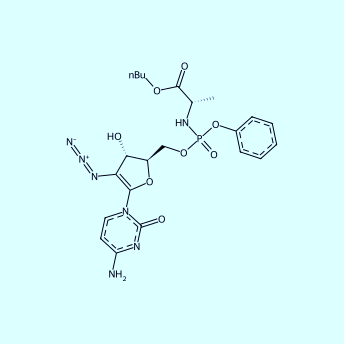 CCCCOC(=O)[C@H](C)NP(=O)(OC[C@H]1OC(n2ccc(N)nc2=O)=C(N=[N+]=[N-])[C@@H]1O)Oc1ccccc1